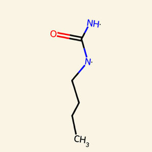 CCCC[N]C([NH])=O